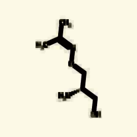 CC(C)=NOC[C@@H](N)CO